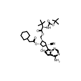 CC(C)(C)OC(=O)N[C@@H](C(=O)OC[C@H]1C[C@@](C#N)(c2ccc3c(N)ncnn23)[C@H](O)[C@@H]1OC(=O)CC1CCCCC1)C(C)(C)C